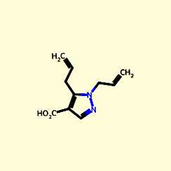 C=CCc1c(C(=O)O)cnn1CC=C